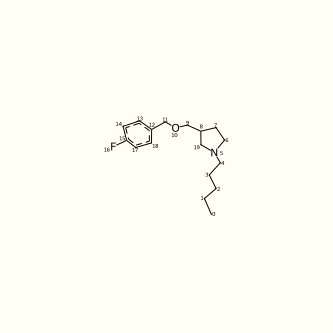 CCCCCN1CCC(COCc2ccc(F)cc2)C1